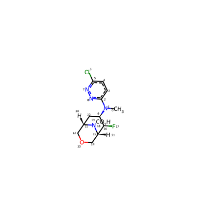 CN(c1ccc(Cl)nn1)[C@@H]1C[C@H]2COC[C@@H]([C@@H]1F)N2C(=O)O